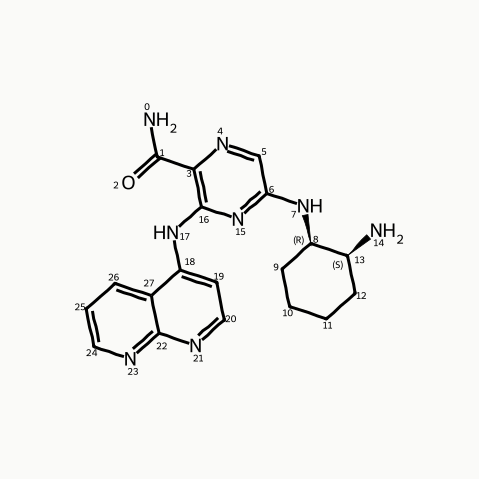 NC(=O)c1ncc(N[C@@H]2CCCC[C@@H]2N)nc1Nc1ccnc2ncccc12